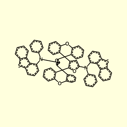 c1ccc(N(c2cc3c(o2)C2(c4ccccc4Oc4ccccc42)c2cc(N(c4ccccc4)c4cccc5sc6ccccc6c45)oc2C32c3ccccc3Oc3ccccc32)c2cccc3sc4ccccc4c23)cc1